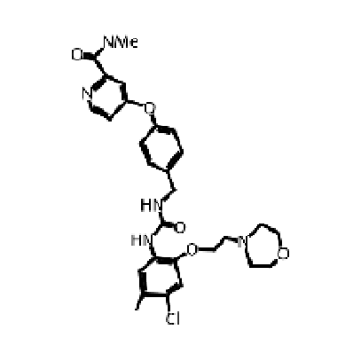 CNC(=O)c1cc(Oc2ccc(CNC(=O)Nc3cc(C)c(Cl)cc3OCCN3CCOCC3)cc2)ccn1